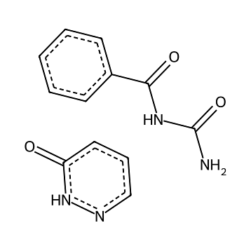 NC(=O)NC(=O)c1ccccc1.O=c1cccn[nH]1